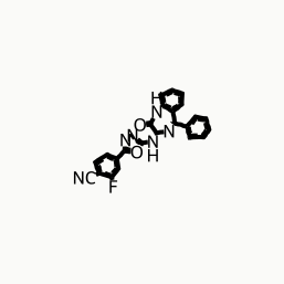 N#Cc1ccc(-c2nnc(N[C@H]3N=C(c4ccccc4)c4ccccc4NC3=O)o2)cc1F